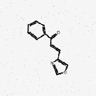 O=C(C=Cc1cocn1)c1ccccc1